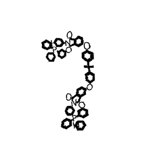 CC(C)(c1ccc(Oc2ccc3c(c2)C(=O)N(c2cccc([PH](C4=CCCC=C4)(c4ccccc4)c4ccccc4)c2)C3=O)cc1)c1ccc(Oc2ccc3c(c2)C(=O)N(c2cccc([PH](c4ccccc4)(c4ccccc4)c4ccccc4)c2)C3=O)cc1